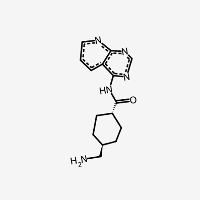 NC[C@H]1CC[C@H](C(=O)Nc2ncnc3ncccc23)CC1